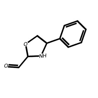 O=CC1NC(c2ccccc2)CO1